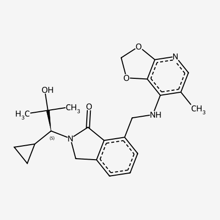 Cc1cnc2c(c1NCc1cccc3c1C(=O)N([C@@H](C1CC1)C(C)(C)O)C3)OCO2